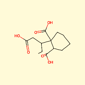 CCC(CC(=O)O)C1(C(=O)O)CCCCC1C(=O)O